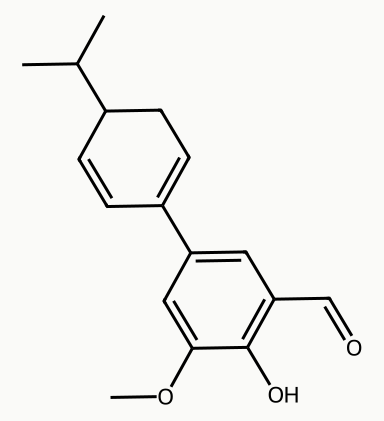 COc1cc(C2=CCC(C(C)C)C=C2)cc(C=O)c1O